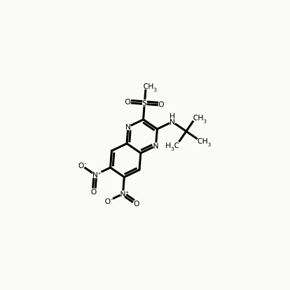 CC(C)(C)Nc1nc2cc([N+](=O)[O-])c([N+](=O)[O-])cc2nc1S(C)(=O)=O